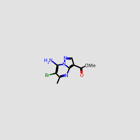 COC(=O)c1cnn2c(N)c(Br)c(C)nc12